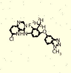 [2H]C([2H])([2H])c1c(Oc2ccc3c(c2)nnn3C)ccc(Nc2ncnc3ccc(Cl)nc23)c1F